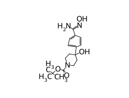 CC(C)(C)OC(=O)N1CCC(O)(c2ccc(/C(N)=N/O)cc2)CC1